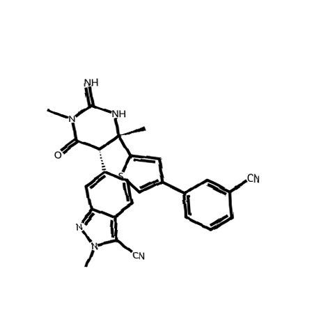 CN1C(=N)N[C@](C)(c2cc(-c3cccc(C#N)c3)cs2)[C@H](c2ccc3c(C#N)n(C)nc3c2)C1=O